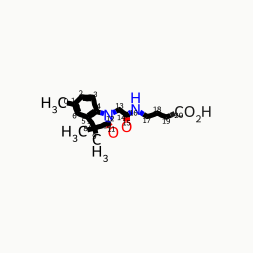 Cc1ccc2c(c1)C(C)(C)C(=O)N2CC(=O)NCCCC(=O)O